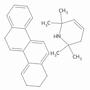 C1=c2c(ccc3c2=CCc2ccccc2-3)CCC1.CC1(C)C=CCC(C)(C)N1